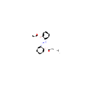 C=CC(=O)Oc1ccccc1N=Nc1ccccc1OC(=O)C=C